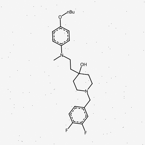 CCCCOc1ccc(N(C)CCC2(O)CCN(Cc3ccc(F)c(F)c3)CC2)cc1